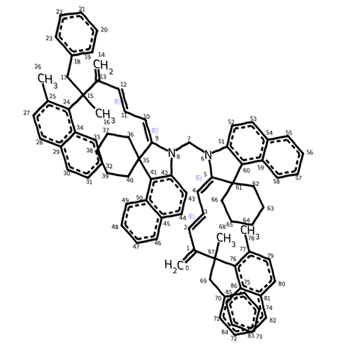 C=C(/C=C/C=C1/N(CN2/C(=C/C=C/C(=C)C(C)(Cc3ccccc3)c3c(C)ccc4ccccc34)C3(CCCCC3)c3c2ccc2ccccc32)c2ccc3ccccc3c2C12CCCCC2)C(C)(Cc1ccccc1)c1c(C)ccc2ccccc12